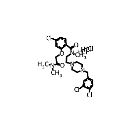 CN(C)C(=O)COc1cc(Cl)ccc1C(=O)N(C)CCN1CCN(Cc2ccc(Cl)c(Cl)c2)CC1.Cl.Cl.Cl